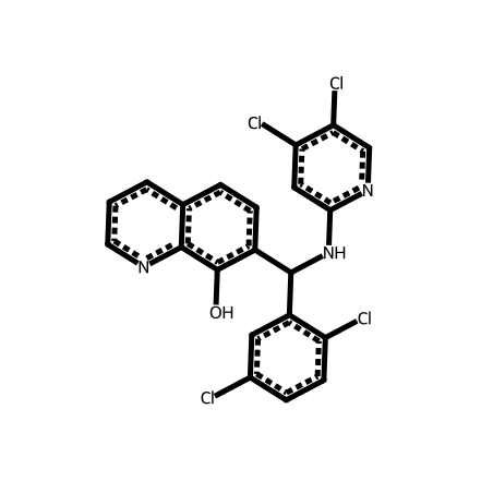 Oc1c(C(Nc2cc(Cl)c(Cl)cn2)c2cc(Cl)ccc2Cl)ccc2cccnc12